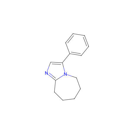 c1ccc(-c2cnc3n2CCCCC3)cc1